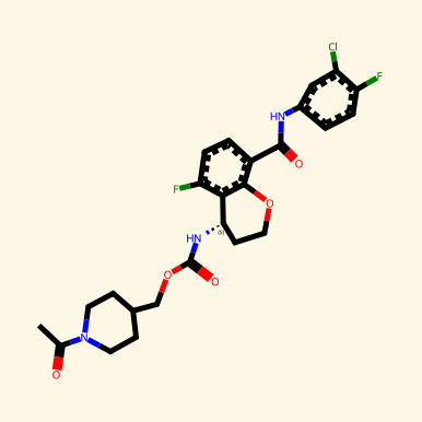 CC(=O)N1CCC(COC(=O)N[C@H]2CCOc3c(C(=O)Nc4ccc(F)c(Cl)c4)ccc(F)c32)CC1